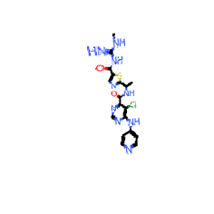 CNC(=N)NC(=O)c1cnc(C(C)NC(=O)c2ncnc(Nc3ccncc3)c2Cl)s1